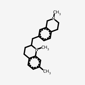 Cc1ccc2c(c1)N(C)C(Cc1ccc3c(c1)CN(C)CC3)CC2